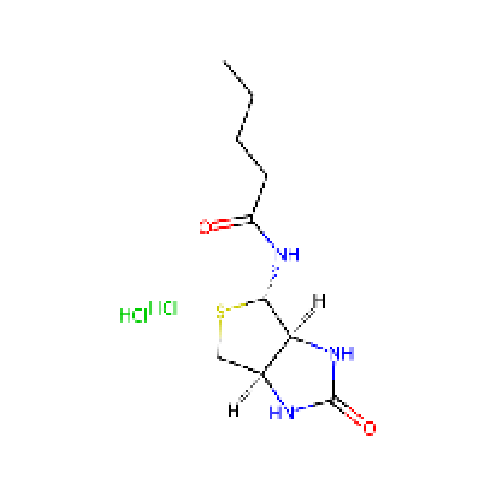 CCCCC(=O)N[C@H]1SC[C@@H]2NC(=O)N[C@@H]21.Cl.Cl